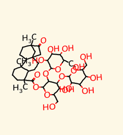 CC12CCC3C(CCC4C(C)(C(=O)OC5OC(CO)C(O)C(OC6OC(CO)C(O)C(O)C6O)C5OC5OC(CO)[C@H](O)C(O)C5O)CCCC34C)(CC1=O)C2